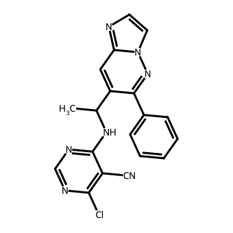 CC(Nc1ncnc(Cl)c1C#N)c1cc2nccn2nc1-c1ccccc1